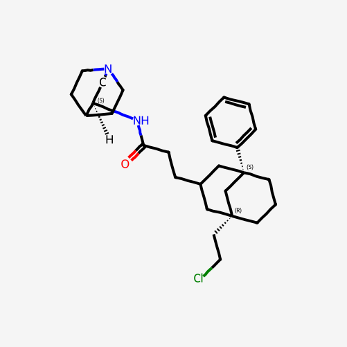 O=C(CCC1C[C@]2(CCCl)CCC[C@](c3ccccc3)(C1)C2)N[C@@H]1CN2CCC1CC2